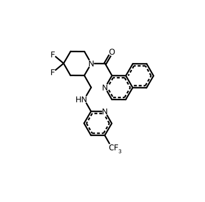 O=C(c1nccc2ccccc12)N1CCC(F)(F)CC1CNc1ccc(C(F)(F)F)cn1